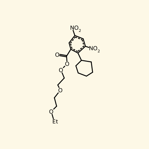 CCOCCOCCOOC(=O)c1cc([N+](=O)[O-])cc([N+](=O)[O-])c1C1CCCCC1